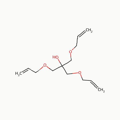 C=CCOCC(O)(COCC=C)COCC=C